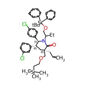 C=CC[C@]1(COCC[Si](C)(C)C)C[C@H](c2cccc(Cl)c2)[C@@H](c2ccc(Cl)cc2)N(C(CC)CO[Si](c2ccccc2)(c2ccccc2)C(C)(C)C)C1=O